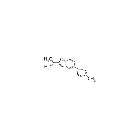 [CH2][C@H](C)c1cc2cc(-c3ccc(C)cc3)ccc2o1